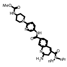 CCCN(CCC)C(=O)C1=Cc2ccc(C(=O)Nc3ccc(N4CCC(NC(=O)OC)CC4)nc3)cc2N=C(N)C1